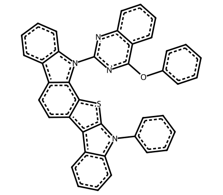 c1ccc(Oc2nc(-n3c4ccccc4c4ccc5c(sc6c5c5ccccc5n6-c5ccccc5)c43)nc3ccccc23)cc1